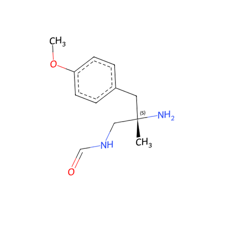 COc1ccc(C[C@](C)(N)CNC=O)cc1